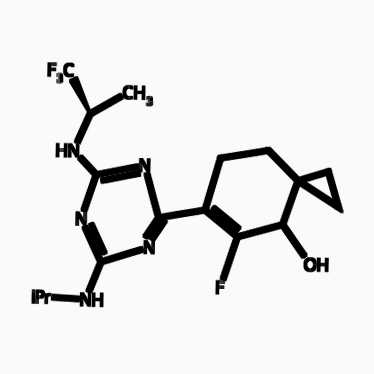 CC(C)Nc1nc(N[C@H](C)C(F)(F)F)nc(C2=C(F)C(O)C3(CC2)CC3)n1